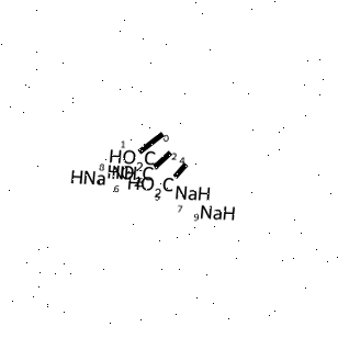 CC(=O)O.CC(=O)O.CC(=O)O.N.[NaH].[NaH].[NaH]